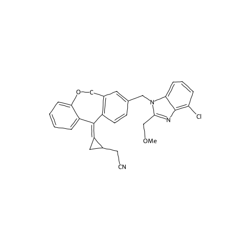 COCc1nc2c(Cl)cccc2n1Cc1ccc2c(c1)COc1ccccc1/C2=C1\CC1CC#N